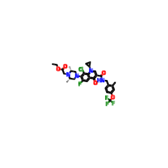 CCOC(=O)CN1[C@H](C)CN(c2c(F)cc3c(=O)c(C(=O)NCc4ccc(OC(F)(F)F)cc4C)cn(C4CC4)c3c2Cl)C[C@@H]1C